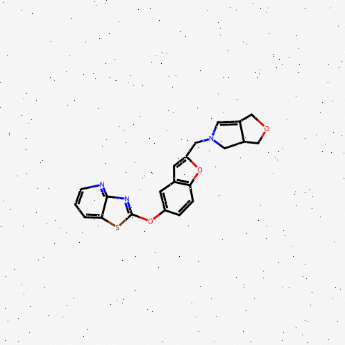 C1=C2COCC2CN1Cc1cc2cc(Oc3nc4ncccc4s3)ccc2o1